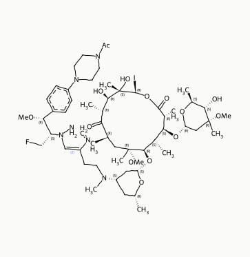 C=N/C(=C\N(N)[C@H](CF)[C@H](OC)c1ccc(N2CCN(C(C)=O)CC2)cc1)CCN(C)[C@@H]1C[C@H](O[C@@H]2[C@@H](C)[C@H](O[C@H]3C[C@@](C)(OC)[C@@H](O)[C@H](C)O3)[C@@H](C)C(=O)O[C@H](I)[C@@](C)(O)[C@H](O)[C@@H](C)C(=O)[C@H](C)C[C@@]2(C)OC)O[C@H](C)C1